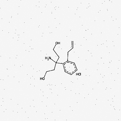 C=CCc1ccccc1C(N)(CCO)CCO.Cl